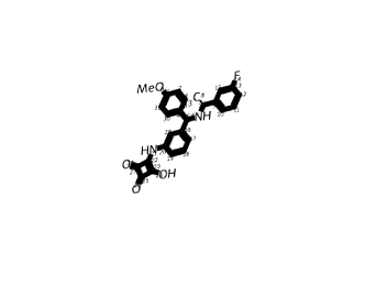 COc1ccc(C(N[C@H](C)c2cccc(F)c2)c2cccc(Nc3c(O)c(=O)c3=O)c2)cc1